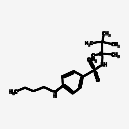 CCCCNc1ccc(S(=O)(=O)N[Si](C)(C)C(C)(C)C)cc1